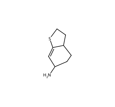 NC1C=C2SCCC2CC1